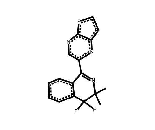 CC1(C)N=C(c2cnc3sccc3n2)c2ccccc2C1(F)F